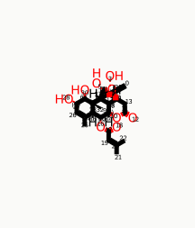 C=C1[C@@H](O)[C@]2(O)OC[C@]34[C@H](OC(=O)C[C@@H]13)[C@H](OC(=O)C=C(C)C)[C@H]1C(C)=C[C@H](O)[C@@H](O)[C@]1(C)[C@@H]24